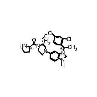 CC[C@@H]1CN(c2ccc3c(c2)N([C@H](C)c2ccc(Cl)cc2Cl)CN3)CCN1C(=O)[C@H]1CCCN1